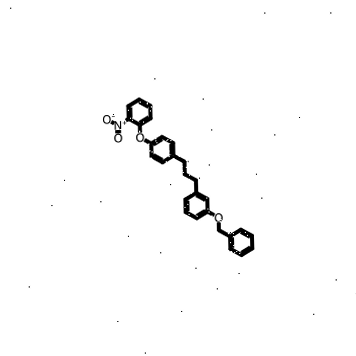 O=[N+]([O-])c1ccccc1Oc1ccc([CH]CCc2cccc(OCc3ccccc3)c2)cc1